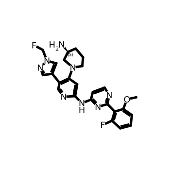 COc1cccc(F)c1-c1nccc(Nc2cc(N3CCC[C@H](N)C3)c(-c3cnn(CF)c3)cn2)n1